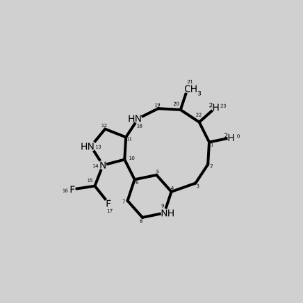 [2H]C1CCC2CC(CCN2)C2C(CNN2C(F)F)NCC(C)C1[2H]